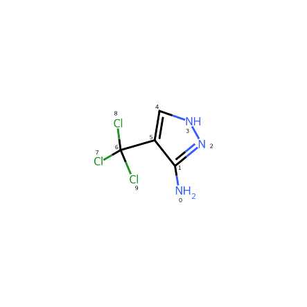 Nc1n[nH]cc1C(Cl)(Cl)Cl